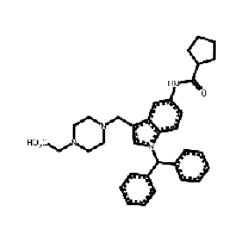 O=C(O)CN1CCN(Cc2cn(C(c3ccccc3)c3ccccc3)c3ccc(NC(=O)C4CCCC4)cc23)CC1